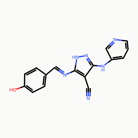 N#Cc1c(Nc2cccnc2)n[nH]c1N=Cc1ccc(O)cc1